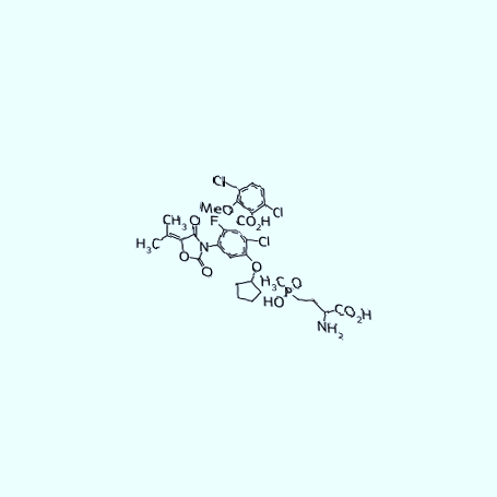 CC(C)=C1OC(=O)N(c2cc(OC3CCCC3)c(Cl)cc2F)C1=O.COc1c(Cl)ccc(Cl)c1C(=O)O.CP(=O)(O)CCC(N)C(=O)O